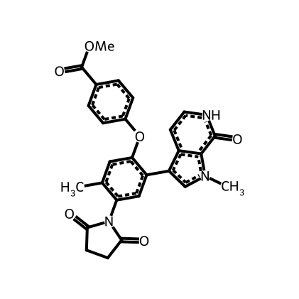 COC(=O)c1ccc(Oc2cc(C)c(N3C(=O)CCC3=O)cc2-c2cn(C)c3c(=O)[nH]ccc23)cc1